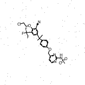 CC(C)(c1ccc(OCc2ccnc(NS(C)(=O)=O)n2)cc1)c1cc(C#N)c(OCCCl)c(C(F)(F)F)c1